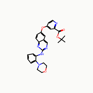 CC(C)(C)OC(=O)c1cc(Oc2ccc3nc(Nc4ccccc4N4CCOCC4)ncc3c2)ccn1